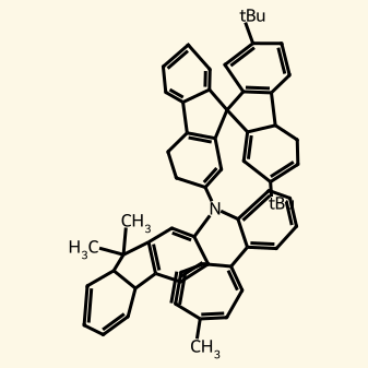 CC1=CC=C(c2ccccc2N(C2=CC3=C(CC2)c2ccccc2C32C3=CC(C(C)(C)C)=CCC3c3ccc(C(C)(C)C)cc32)c2ccc3c(c2)C(C)(C)C2C=CC=CC32)CC#C1